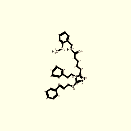 COc1ccccc1CNC(=O)CCCCc1nnc(SCC=Cc2ccccc2)n1CCc1ccccc1